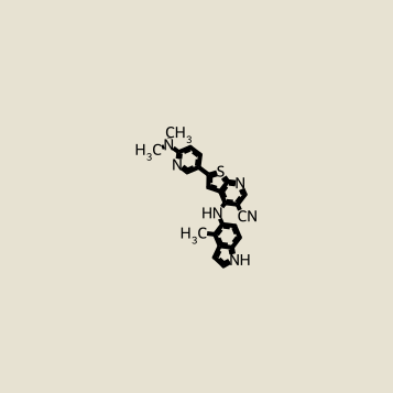 Cc1c(Nc2c(C#N)cnc3sc(-c4ccc(N(C)C)nc4)cc23)ccc2[nH]ccc12